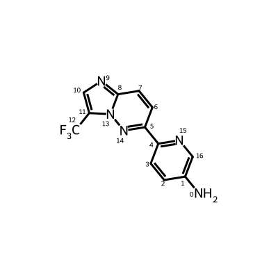 Nc1ccc(-c2ccc3ncc(C(F)(F)F)n3n2)nc1